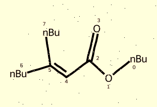 CCCCOC(=O)C=C(CCCC)CCCC